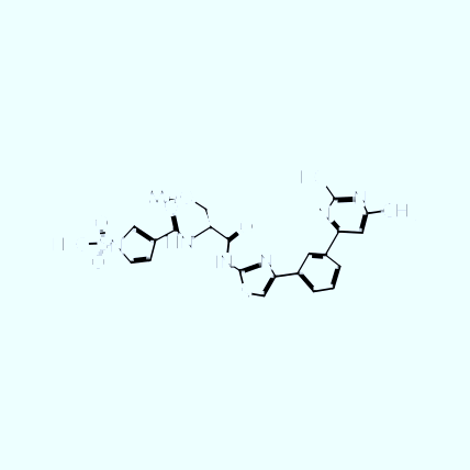 COC[C@H](NC(=O)c1ccn(S(C)(=O)=O)c1)C(=O)Nc1nc(-c2cccc(-c3cc(C)nc(C)n3)c2)cs1